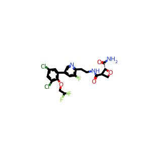 NC(=O)[C@@H]1OC[C]1C(=O)NCCc1ncc(-c2cc(Cl)cc(Cl)c2OCC(F)F)cc1F